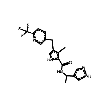 Cc1c(Cc2ccc(C(F)(F)F)nc2)c[nH]c1C(=O)NC(C)c1cn[nH]c1